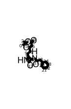 CC1(C)OC(=O)C=C(CCC2NC(=O)[C@H]2NC(=O)Cc2ccccc2)O1